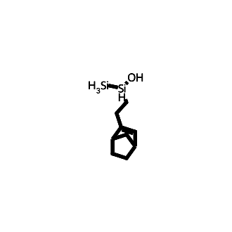 O[SiH]([SiH3])CCC1=CC2CCC1C2